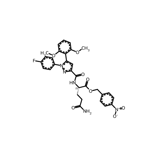 COc1cccc(OC)c1-c1cc(C(=O)N[C@@H](CCC(N)=O)C(=O)OCc2ccc([N+](=O)[O-])cc2)nn1-c1ccc(F)cc1